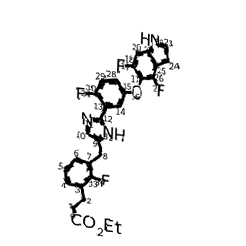 CCOC(=O)CCc1cccc(Cc2cnc(-c3cc(Oc4c(F)cc5[nH]ccc5c4F)ccc3F)[nH]2)c1F